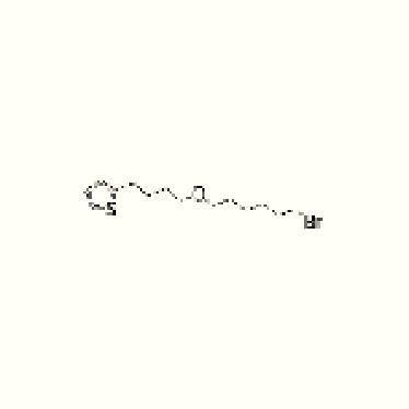 BrCCCCCCOCCCCc1cccs1